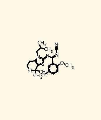 COc1ccc(Cl)cc1C(=N/C#N)/N=c1\sc2c(n1CC(C)C)CCOC2(C)C